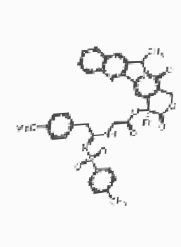 CC[C@@]1(OC(=O)CN/C(Cc2ccc(OC)cc2)=N\S(=O)(=O)c2ccc(C)cc2)C(=O)OCc2c1cc1n(c2=O)C(C)c2cc3ccccc3nc2-1